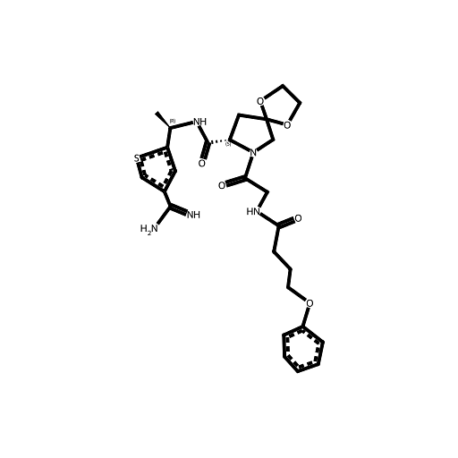 C[C@@H](NC(=O)[C@@H]1CC2(CN1C(=O)CNC(=O)CCCOc1ccccc1)OCCO2)c1cc(C(=N)N)cs1